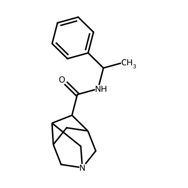 CC(NC(=O)C1C2CC3CN(C2)CC31)c1ccccc1